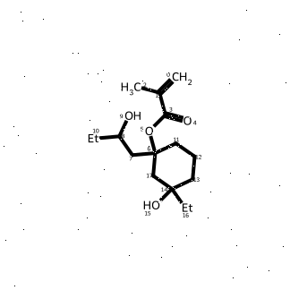 C=C(C)C(=O)OC1(CC(O)CC)CCCC(O)(CC)C1